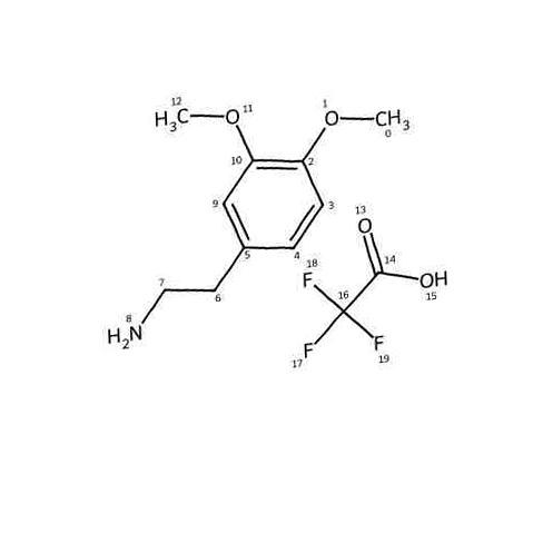 COc1ccc(CCN)cc1OC.O=C(O)C(F)(F)F